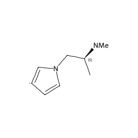 CN[C@@H](C)Cn1c[c]cc1